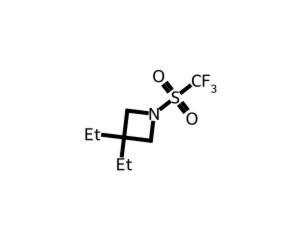 CCC1(CC)CN(S(=O)(=O)C(F)(F)F)C1